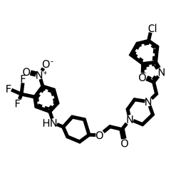 O=C(COC1CCC(Nc2ccc([N+](=O)[O-])c(C(F)(F)F)c2)CC1)N1CCN(Cc2nc3cc(Cl)ccc3o2)CC1